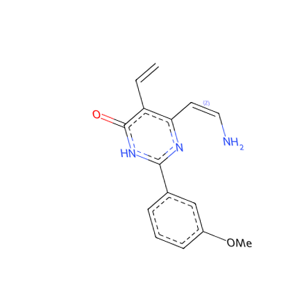 C=Cc1c(/C=C\N)nc(-c2cccc(OC)c2)[nH]c1=O